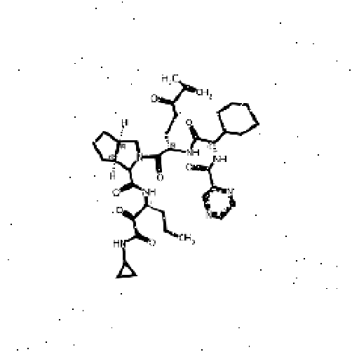 C=C(C)C(=O)CC[C@H](NC(=O)[C@@H](NC(=O)c1cnccn1)C1CCCCC1)C(=O)N1C[C@@H]2CCC[C@@H]2C1C(=O)N[C@@H](CCC)C(=O)C(=O)NC1CC1